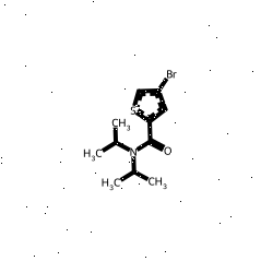 CC(C)N(C(=O)c1cc(Br)cs1)C(C)C